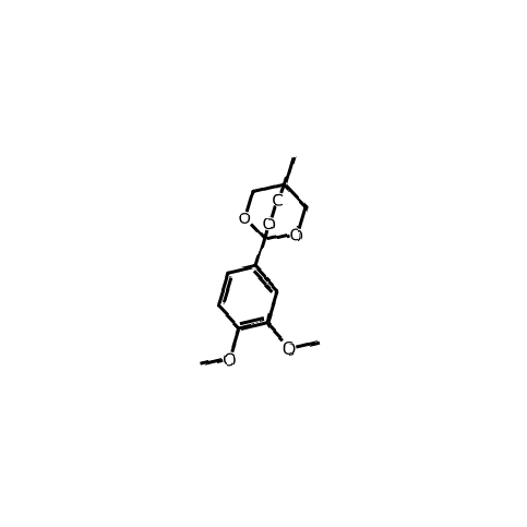 COc1ccc(C23OCC(C)(CO2)CO3)cc1OC